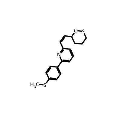 CSc1ccc(-c2cccc(/C=C\C3CCCSO3)n2)cc1